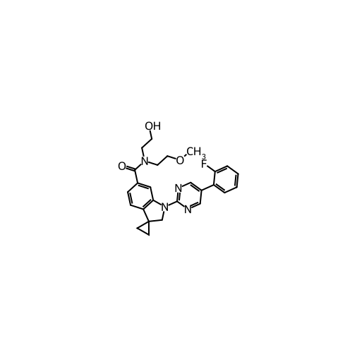 COCCN(CCO)C(=O)c1ccc2c(c1)N(c1ncc(-c3ccccc3F)cn1)CC21CC1